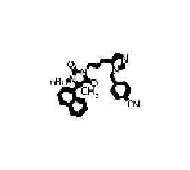 CCCCN1C(=O)N(CCCc2cncn2Cc2ccc(C#N)cc2)C(=O)C1(C)c1cccc2ccccc12